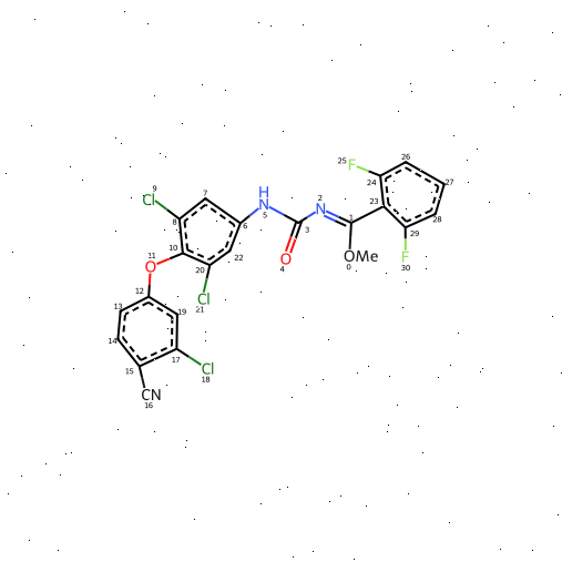 COC(=NC(=O)Nc1cc(Cl)c(Oc2ccc(C#N)c(Cl)c2)c(Cl)c1)c1c(F)cccc1F